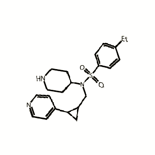 CCc1ccc(S(=O)(=O)N(CC2CC2c2ccncc2)C2CCNCC2)cc1